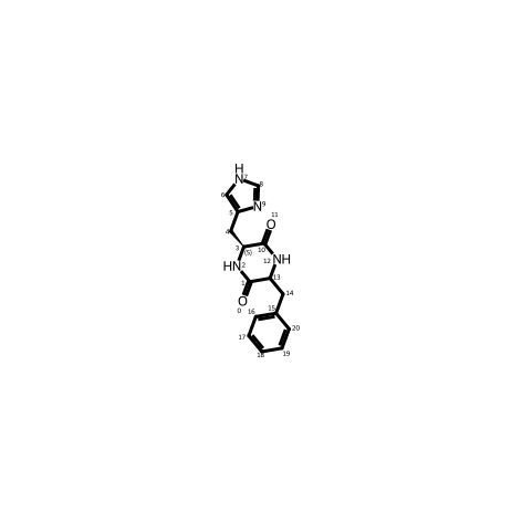 O=C1N[C@@H](Cc2c[nH]cn2)C(=O)NC1Cc1ccccc1